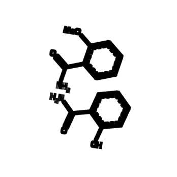 COc1ccccc1C(N)=O.NC(=O)c1ccccc1O